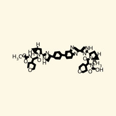 COC(=O)N[C@H](C(=O)N1[C@@H]2C[C@@H]2C[C@H]1c1nc(-c2ccc(-c3ccc4nc(-c5c[nH]c([C@@H]6C[C@H]7C[C@H]7N6C(=O)[C@H](C6CCOCC6)N(C)C(=O)O)n5)cnc4c3)cc2)c[nH]1)C1CCOCC1